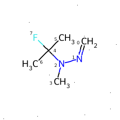 C=NN(C)C(C)(C)F